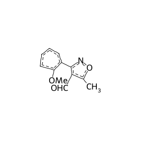 COc1ccccc1-c1noc(C)c1C=O